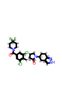 O=C(c1cc(Cl)c(C[C@@H]2CCN(C3CCc4n[nH]cc4C3)C2=O)c(Cl)c1)N1CCC(F)(F)CC1